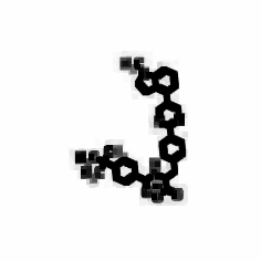 Cn1ccc2c(-c3cnc(-c4ccc(CC(NC(=O)c5ccc(C(C)(C)C)cc5)C(=O)O)cc4)nc3)cccc21